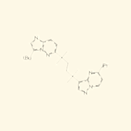 CC(C)c1ccn2ncc(C(C)(C)CCC(C)(C)c3ccc4ncc(C(C)(C)C)n4n3)c2n1